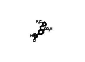 O=C(O)N1CCC(c2cc(=O)[nH]o2)CC1CN1CCC[C@H]1C(F)(F)F